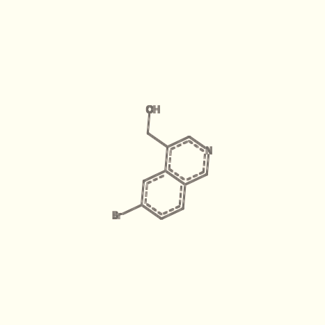 OCc1cncc2ccc(Br)cc12